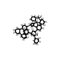 CC1(C)c2ccccc2C2(c3ccc(-c4ccc(-c5ccccc5-c5cc#ccc5)cc4)cc3-c3c(-c4cc(-c5ccccc5)nc(-c5ccccc5)n4)cccc32)c2ccccc21